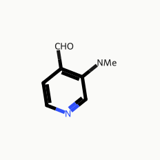 CNc1cnccc1C=O